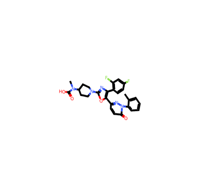 Cc1ccccc1-n1nc(-c2oc(N3CCC(N(C)C(=O)O)CC3)nc2-c2ccc(F)cc2F)ccc1=O